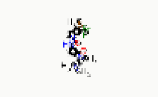 CSc1cc2c(cc1C(F)(F)F)N(C(=O)Nc1cccc(C(=O)N(C)CCN(C)C)c1)CC2